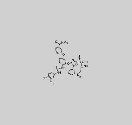 CCSCC[C@H](N)C(=O)O.CNC(=O)c1cc(Oc2ccc(NC(=O)Nc3ccc(Cl)c(C(F)(F)F)c3)cc2)ccn1.NC1=NC(=O)C(c2ccccc2)O1